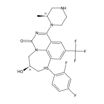 C[C@H]1CNCCN1c1nc(=O)n2c3c(cc(C(F)(F)F)cc13)[SH](c1ccc(F)cc1F)C[C@@H](O)C2